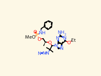 CCOc1nc(N)nc2c1ncn2C(O[C@@H](C)COP(=O)(NCc1ccccc1)OC)C(C)(C)N=[N+]=[N-]